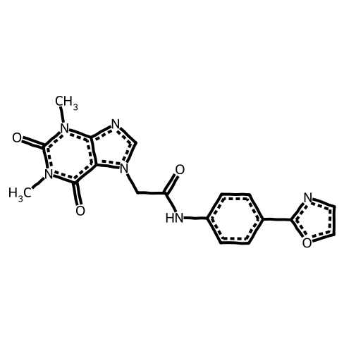 Cn1c(=O)c2c(ncn2CC(=O)Nc2ccc(-c3ncco3)cc2)n(C)c1=O